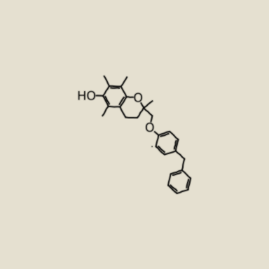 Cc1c(C)c2c(c(C)c1O)CCC(C)(COc1[c]cc(Cc3ccccc3)cc1)O2